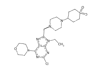 CCn1c(CN2CCN(C3CCS(=O)(=O)CC3)CC2)nc2c(N3CCOCC3)nc(Cl)nc21